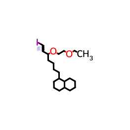 CCOCCOC(/C=C/I)CCCCC1CCCC2CCCCC12